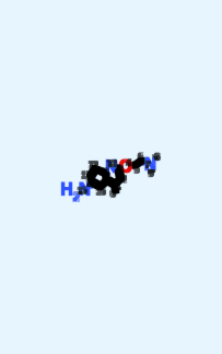 Cc1cc(OCCN(C)C)nc2ccc(N)cc12